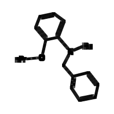 CCCOc1ccccc1N(Cc1ccccc1)C(C)CC